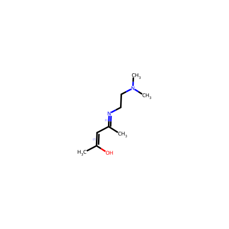 C/C(O)=C/C(C)=N/CCN(C)C